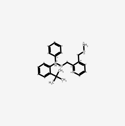 CC(C)(C)c1ccccc1[SiH](OCc1ncccc1CON)c1ccccc1